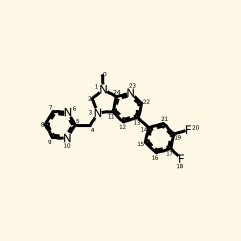 CN1CN(Cc2ncccn2)c2cc(-c3ccc(F)c(F)c3)cnc21